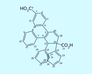 O=C(O)c1ccc(C2=C(c3ccccc3)C(c3ccccc3)C(C(=O)O)(c3ccccc3)C=C2)cc1